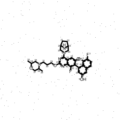 CCc1c(F)ccc2cc(O)cc(-c3c(Cl)cc4c(N5CC6CCC(C5)N6)nc(OCCCN5CC(C)OCC5C)nc4c3F)c12